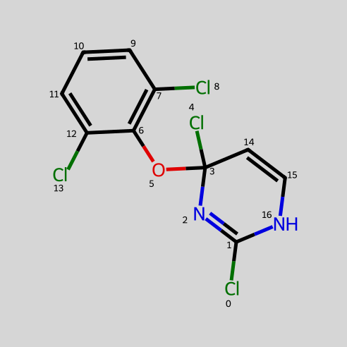 ClC1=NC(Cl)(Oc2c(Cl)cccc2Cl)C=CN1